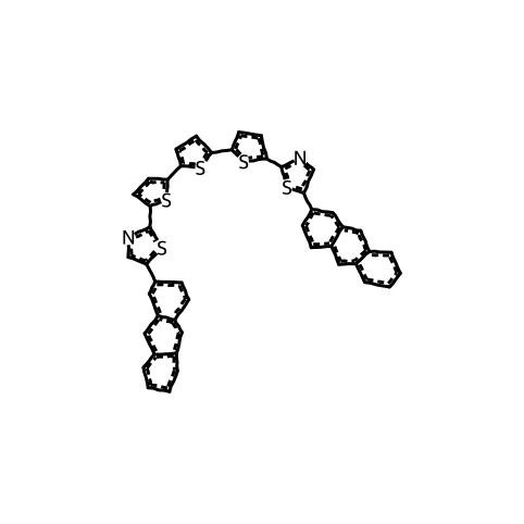 c1ccc2cc3cc(-c4cnc(-c5ccc(-c6ccc(-c7ccc(-c8ncc(-c9ccc%10cc%11ccccc%11cc%10c9)s8)s7)s6)s5)s4)ccc3cc2c1